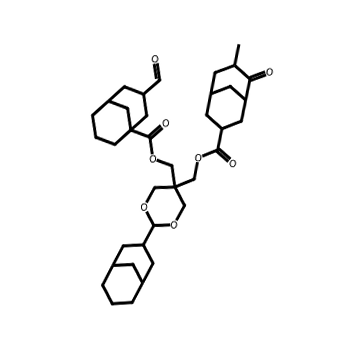 CC1CC2CC(C(=O)OCC3(COC(=O)C45CCCC(CC(C=O)C4)C5)COC(C4CC5CCCC(C5)C4)OC3)CC(C2)C1=O